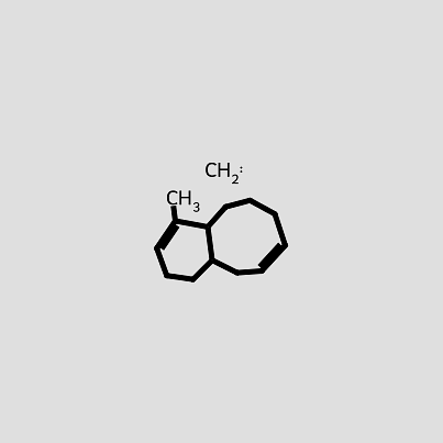 CC1=CCCC2CC=CCCCC12.[CH2]